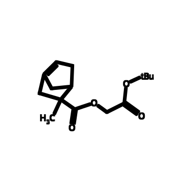 CC(C)(C)OC(=O)COC(=O)C1(C)CC2=CCC1C2